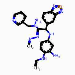 C=CNc1ccc(NC(/C(=N/N=C)N(N)Cc2cccnc2)c2ccc3nsnc3c2)cc1N